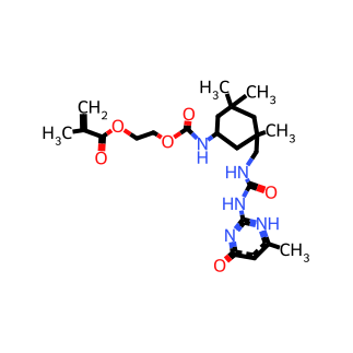 C=C(C)C(=O)OCCOC(=O)NC1CC(C)(C)CC(C)(CNC(=O)Nc2nc(=O)cc(C)[nH]2)C1